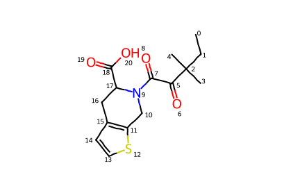 CCC(C)(C)C(=O)C(=O)N1Cc2sccc2CC1C(=O)O